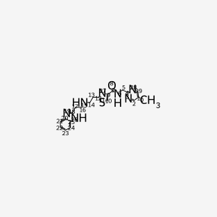 Cc1cnc(CNC(=O)c2csc(CCNCCc3nc4ccccc4[nH]3)n2)nc1